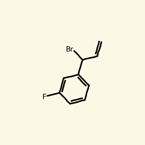 C=CC(Br)c1cccc(F)c1